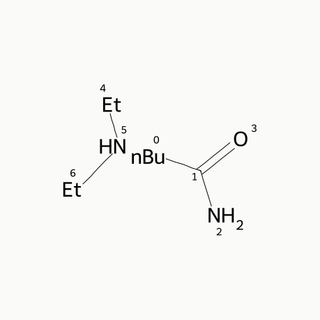 CCCCC(N)=O.CCNCC